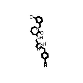 N#Cc1ccc(Cc2ncc(CNC3CCCCN(Cc4cccc(Cl)c4)C3=O)[nH]2)cc1